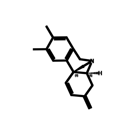 C=C1C=C[C@]23CCN(Cc4cc(C)c(C)cc42)[C@H]3C1